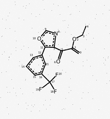 C=C(OCC)C(=O)c1ncoc1-c1cccc(C(F)(F)F)c1